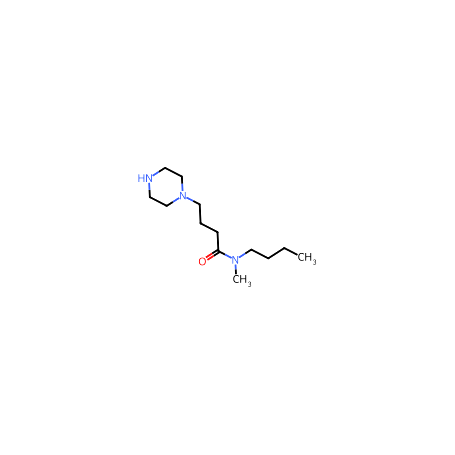 CCCCN(C)C(=O)CCCN1CCNCC1